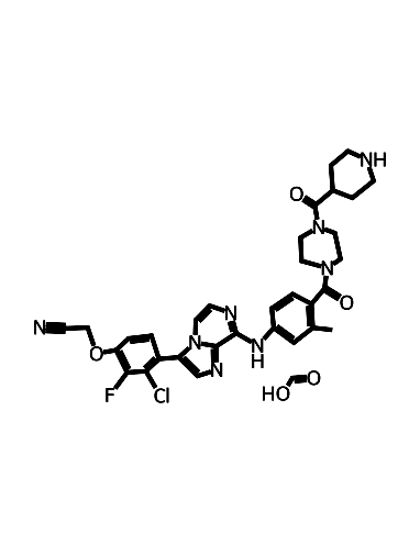 Cc1cc(Nc2nccn3c(-c4ccc(OCC#N)c(F)c4Cl)cnc23)ccc1C(=O)N1CCN(C(=O)C2CCNCC2)CC1.O=CO